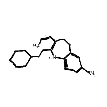 C/C=C\C1=C(CCC2CCCCC2)NC2=CCC(C)C=C2CC1